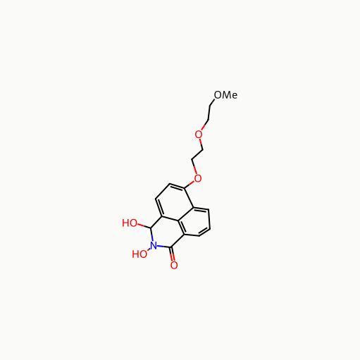 COCCOCCOc1ccc2c3c(cccc13)C(=O)N(O)C2O